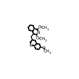 COc1ccc2ncc(Cc3c(OC)nc(OC)c4ccccc34)cc2c1